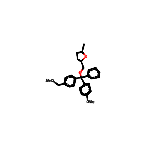 COCc1ccc(C(OCC2CCC(C)O2)(c2ccccc2)c2ccc(OC)cc2)cc1